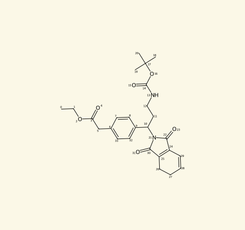 CCOC(=O)Cc1ccc(C(CCNC(=O)OC(C)(C)C)N2C(=O)C3=C(CCC=C3)C2=O)cc1